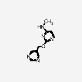 CNc1ccnc(OCc2cncnc2)n1